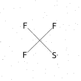 FC(F)(F)[S]